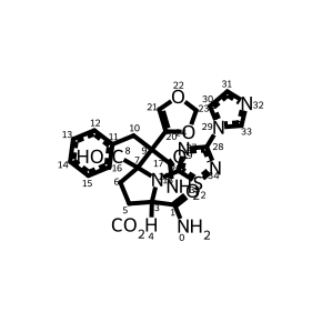 NC(=O)C1(C(=O)O)CCC(C(=O)O)(C(Cc2ccccc2)(C(N)=O)C2=COCO2)N1c1nc(-n2ccnc2)ns1